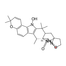 CC1c2c(n(O)c3c4c(ccc23)OC(C)(C)C=C4)C(C)(C)C2CC34CCCN3C(=O)[C@]12NC4=O